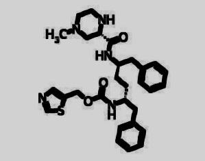 CN1CCN[C@H](C(=O)N[C@H](CC[C@H](Cc2ccccc2)NC(=O)OCc2cncs2)Cc2ccccc2)C1